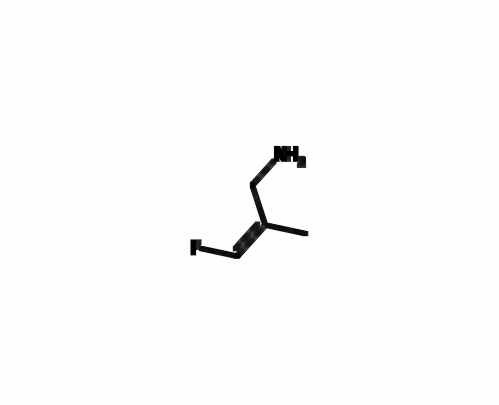 C/C(=C/F)CN